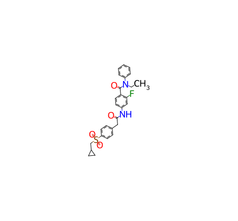 CCN(C(=O)c1ccc(NC(=O)Cc2ccc(S(=O)(=O)CC3CC3)cc2)cc1F)c1ccccc1